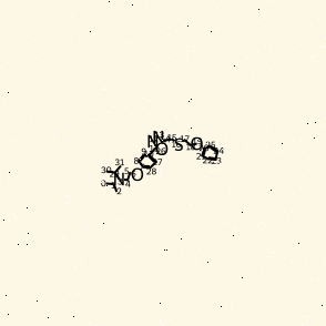 CC(C)N(CCOc1ccc(-c2nnc(CSCCOc3ccccc3)o2)cc1)C(C)C